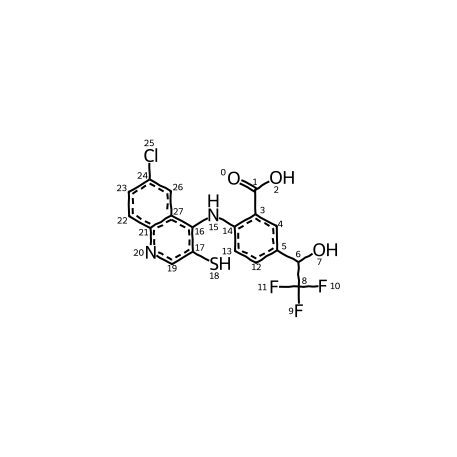 O=C(O)c1cc(C(O)C(F)(F)F)ccc1Nc1c(S)cnc2ccc(Cl)cc12